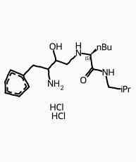 CCCC[C@H](NCC(O)C(N)Cc1ccccc1)C(=O)NCC(C)C.Cl.Cl